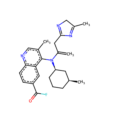 C=C(CC1=NCC(C)=N1)N(c1c(C)cnc2ccc(C(=O)F)cc12)[C@@H]1CCC[C@H](C)C1